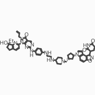 C=CCn1c(=O)c2cnc(Nc3ccc(NCCNC4CCN(C[C@@H]5CC[C@H](n6ccc7c8c(C9CCC(=O)NC9=O)noc8ccc76)C5)CC4)cc3)nc2n1-c1ccc2c(n1)[C@@](O)(CC)CC2